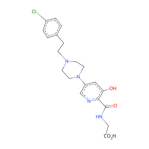 O=C(O)CNC(=O)c1ncc(N2CCN(CCc3ccc(Cl)cc3)CC2)cc1O